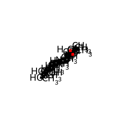 C[C@@H]1C[C@]2(O[C@H]3C=C4[C@@H]5CC[C@H]6Cc7nc8c(nc7C[C@]6(C)[C@H]5C[C@@H](O)[C@]4(CO)[C@H]3[C@@H]2C)C[C@@H]2CC[C@H]3C4=C[C@@H]5O[C@]6(O[C@](C)(CO)C[C@H]6O)[C@@H](C)[C@]5(O)[C@@]4(C)[C@H](O)C[C@@H]3[C@@]2(C)C8)OC1(C)C